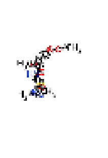 CCCCOCCOc1ccc(-c2ccc(OC)c(/C=C/C(=O)Nc3ccc([S+]([O-])Cc4c(C)ncn4CC)cc3)c2)cc1